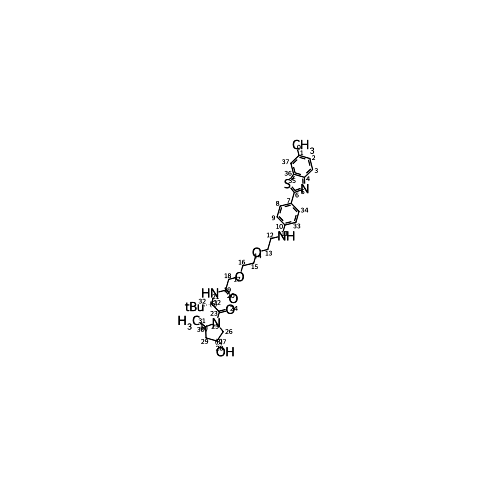 Cc1ccc2nc(-c3ccc(NCCOCCOCC(=O)N[C@H](C(=O)N4C[C@H](O)C[C@H]4C)C(C)(C)C)cc3)sc2c1